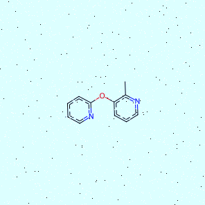 Cc1ncccc1Oc1cc[c]cn1